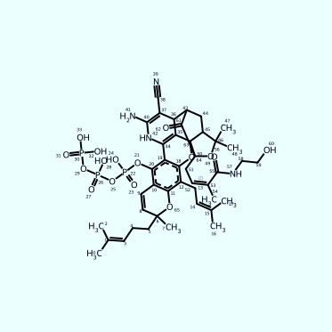 CC(C)=CCCC1(C)C=Cc2c(c(CC=C(C)C)c3c(c2OP(=O)(O)OP(=O)(O)OP(=O)(O)O)C2=C4C(C(C#N)=C(N)N2)C2CC5C(C)(C)OC(C/C=C(/C)C(=O)NCCO)(C2=O)C45O3)O1